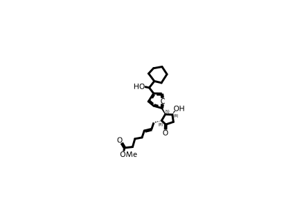 COC(=O)CCCC=CC[C@H]1C(=O)C[C@@H](O)[C@@H]1c1ccc(C(O)C2CCCCC2)cc1